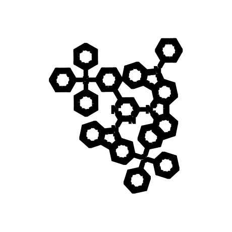 c1ccc(-n2c3ccccc3c3c2ccc2c4ccccc4n(-c4cc(-c5cccc(S(c6ccccc6)(c6ccccc6)c6ccccc6)c5)nc(-n5c6ccccc6c6ccc(S(c7ccccc7)(c7ccccc7)c7ccccc7)cc65)n4)c23)cc1